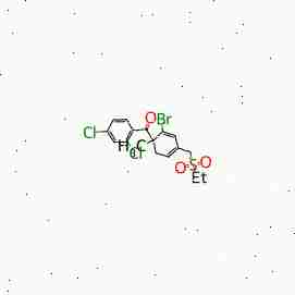 CCS(=O)(=O)CC1=CCC(C)(C(=O)c2ccc(Cl)cc2Cl)C(Br)=C1